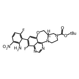 CC(C)(C)OC(=O)N1CCN2c3ncnc4c(F)c(-c5c(F)ccc([N+](=O)[O-])c5N)cc(c34)OC[C@@H]2C1